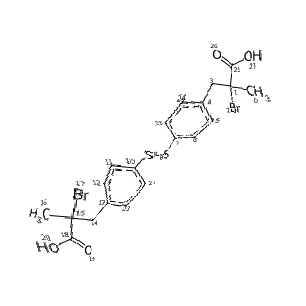 CC(Br)(Cc1ccc(SSc2ccc(CC(C)(Br)C(=O)O)cc2)cc1)C(=O)O